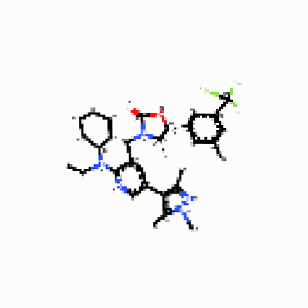 CCN(c1ncc(-c2c(C)nn(C)c2C)cc1CN1C(=O)O[C@H](c2cc(C)cc(C(F)(F)F)c2)[C@@H]1C)C1CCCCC1